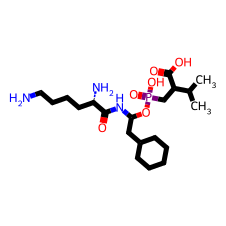 CC(C)C(CP(=O)(O)OC(CC1CCCCC1)NC(=O)[C@@H](N)CCCCN)C(=O)O